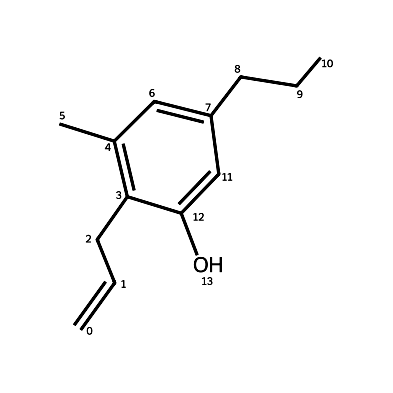 C=CCc1c(C)cc(CCC)cc1O